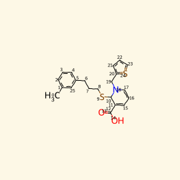 Cc1cccc(CCCSC2C(C(=O)O)=CC=CN2Cc2cccs2)c1